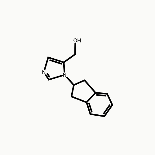 OCc1cncn1C1Cc2ccccc2C1